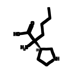 BC(CCCC)(C(=O)O)[C@H]1CCNC1